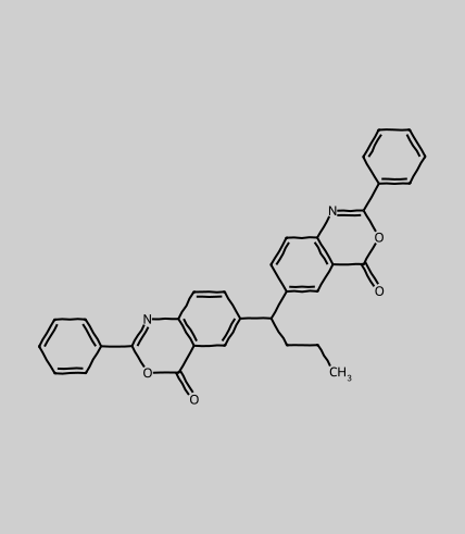 CCCC(c1ccc2nc(-c3ccccc3)oc(=O)c2c1)c1ccc2nc(-c3ccccc3)oc(=O)c2c1